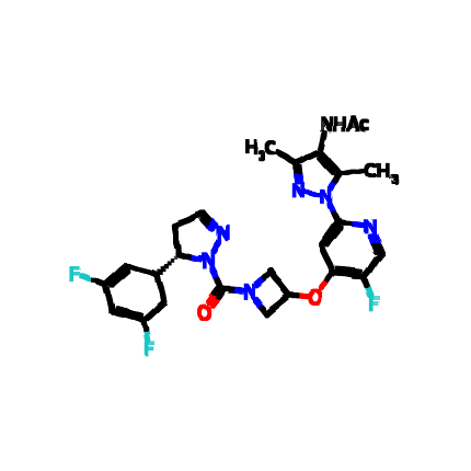 CC(=O)Nc1c(C)nn(-c2cc(OC3CN(C(=O)N4N=CC[C@H]4C4C=C(F)C=C(F)C4)C3)c(F)cn2)c1C